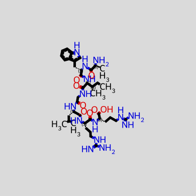 CC[C@H](C)[C@H](NC(=O)[C@H](Cc1c[nH]c2ccccc12)NC(=O)[C@H](C)N)C(=O)NCC(=O)N[C@@H](CC(C)C)C(=O)N[C@@H](CCCNC(=N)N)C(=O)N[C@@H](CCCNC(=N)N)C(=O)O